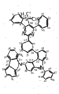 C[Si]1(C)c2ccccc2-c2nc(-c3cccc(-c4cccc5c4c4cc(-n6c7ccccc7c7ccccc76)ccc4n5-c4ccccc4)c3)nc(-c3ccccc3)c21